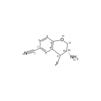 N#Cc1ccc2c(c1)C(F)[C@@H](N)CO2